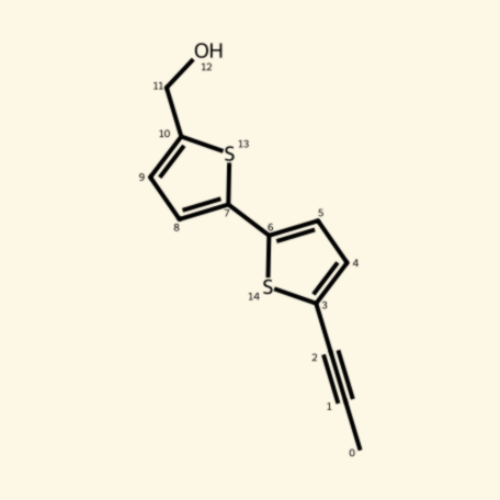 CC#Cc1ccc(-c2ccc(CO)s2)s1